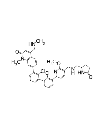 CNCc1cc(=O)n(C)c2cc(-c3cccc(-c4cccc(-c5ccc(CNCC6CCC(=O)N6)c(OC)n5)c4Cl)c3Cl)ccc12